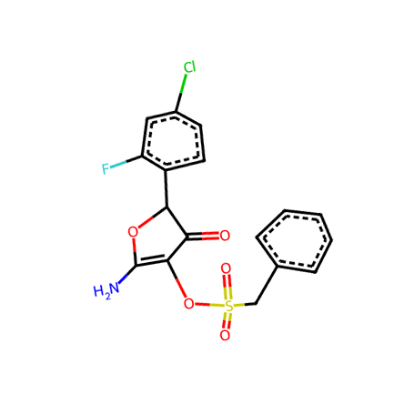 NC1=C(OS(=O)(=O)Cc2ccccc2)C(=O)C(c2ccc(Cl)cc2F)O1